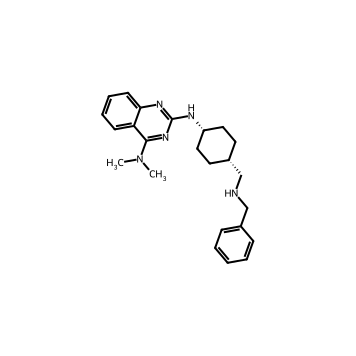 CN(C)c1nc(N[C@H]2CC[C@@H](CNCc3ccccc3)CC2)nc2ccccc12